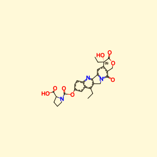 CCc1c2c(nc3ccc(OC(=O)N4CCCC4C(=O)O)cc13)-c1cc3c(c(=O)n1C2)COC(=O)[C@]3(O)CC